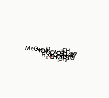 COCCN1CCN(C(=O)O[C@H]2CC[C@]34C[C@]35CC[C@]3(C)[C@@H]6C(OC([C@H](OC(=O)N7CCC7)C(C)C)C[C@H]6C)[C@H](O)[C@@]3(C)C5CC[C@H]4C2(C)C)CC1